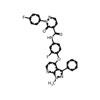 Cn1nc(-c2ccccc2)c2c(Oc3ccc(NC(=O)c4ccnn(-c5ccc(F)cc5)c4=O)cc3F)ccnc21